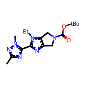 CCn1c(-c2nc(C)nn2C)nc2c1CN(C(=O)OC(C)(C)C)C2